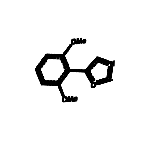 COc1cccc(OC)c1-c1cn[c]o1